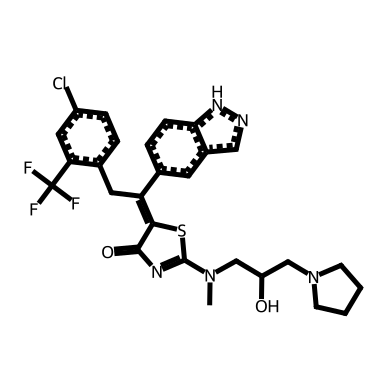 CN(CC(O)CN1CCCC1)C1=NC(=O)C(=C(Cc2ccc(Cl)cc2C(F)(F)F)c2ccc3[nH]ncc3c2)S1